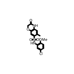 COc1ccc(Cl)cc1NS(=O)(=O)c1cc2c(cc1C)NC(=O)CO2